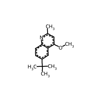 COc1cc(C)nc2ccc(C(C)(C)C)cc12